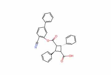 N#Cc1ccc(-c2ccccc2)cc1OC(=O)C1[C@H](c2ccccc2)C(C(=O)O)[C@H]1c1ccccc1